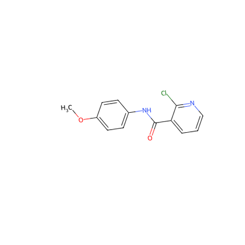 COc1ccc(NC(=O)c2cccnc2Cl)cc1